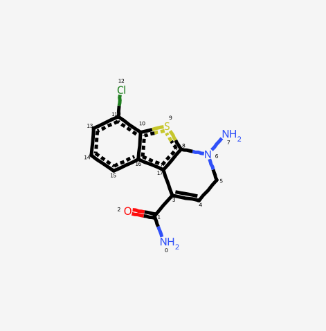 NC(=O)C1=CCN(N)c2sc3c(Cl)cccc3c21